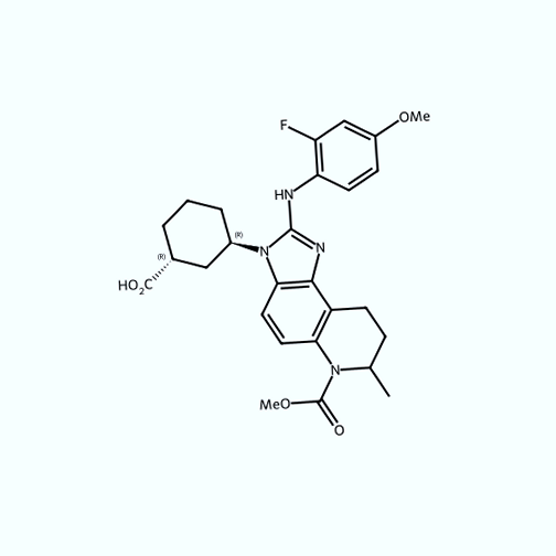 COC(=O)N1c2ccc3c(nc(Nc4ccc(OC)cc4F)n3[C@@H]3CCC[C@@H](C(=O)O)C3)c2CCC1C